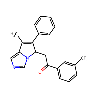 CC1=C(c2ccccc2)C(CC(=O)c2cccc(C(F)(F)F)c2)n2cncc21